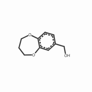 OCc1ccc2c(c1)OCCCO2